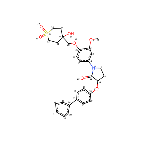 COc1cc(N2CCC(Oc3ccc(-c4ccccc4)cc3)C2=O)ccc1OCC1(O)CCS(=O)(=O)CC1